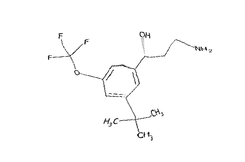 CC(C)(C)c1cc(OC(F)(F)F)cc([C@H](O)CCN)c1